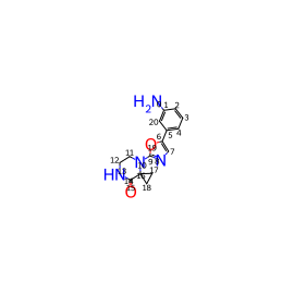 Nc1cccc(-c2cnc(N3CCNC(=O)C34CC4)o2)c1